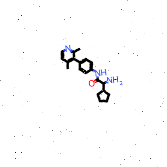 Cc1ccnc(C)c1-c1ccc(NC(=O)C(N)C2CCCC2)cc1